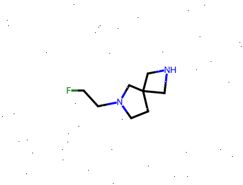 FCCN1CCC2(CNC2)C1